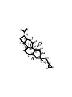 C=C(C)[C@H]1CC[C@H]2[C@@H]3CC[C@@H]4C[C@@](O)(CC5CC5)CC[C@@H]4[C@H]3CC[C@]12C